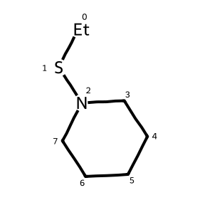 CCSN1CCCCC1